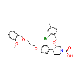 COc1ccccc1COCCCOc1ccc(C2CCN(C(=O)O)CC2OCc2ccc(C)cc2Br)cc1